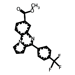 COC(=O)c1ccc2c(c1)nc(-c1ccc(C(F)(F)F)cc1)c1cccn12